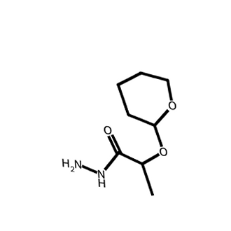 CC(OC1CCCCO1)C(=O)NN